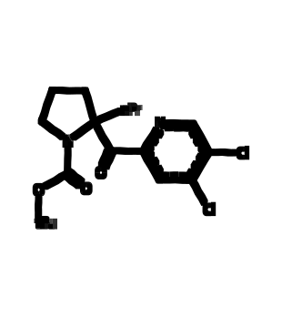 CCCC1(C(=O)c2cc(Cl)c(Cl)cn2)CCCN1C(=O)OC(C)(C)C